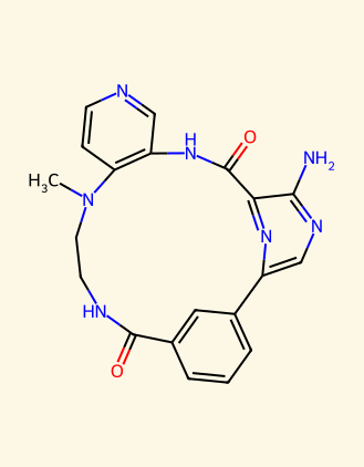 CN1CCNC(=O)c2cccc(c2)-c2cnc(N)c(n2)C(=O)Nc2cnccc21